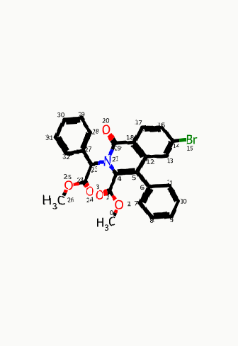 COC(=O)c1c(-c2ccccc2)c2cc(Br)ccc2c(=O)n1C(C(=O)OC)c1ccccc1